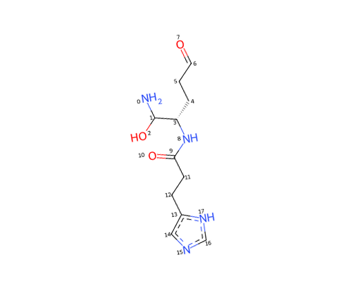 NC(O)[C@H](CCC=O)NC(=O)CCc1cnc[nH]1